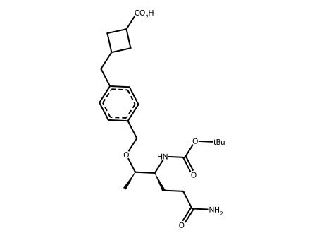 C[C@@H](OCc1ccc(CC2CC(C(=O)O)C2)cc1)[C@H](CCC(N)=O)NC(=O)OC(C)(C)C